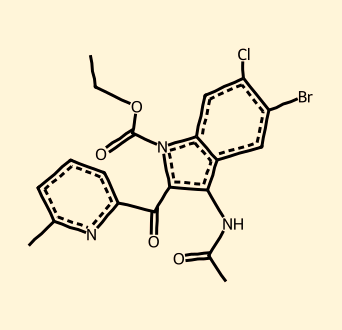 CCOC(=O)n1c(C(=O)c2cccc(C)n2)c(NC(C)=O)c2cc(Br)c(Cl)cc21